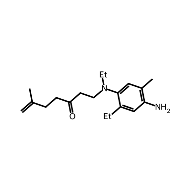 C=C(C)CCC(=O)CCN(CC)c1cc(C)c(N)cc1CC